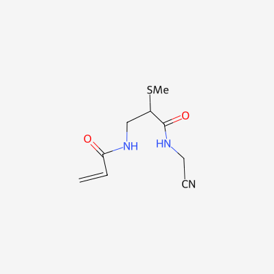 C=CC(=O)NCC(SC)C(=O)NCC#N